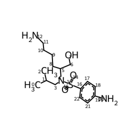 CC(C)CN(C(CO)CCCCN)S(=O)(=O)c1ccc(N)cc1